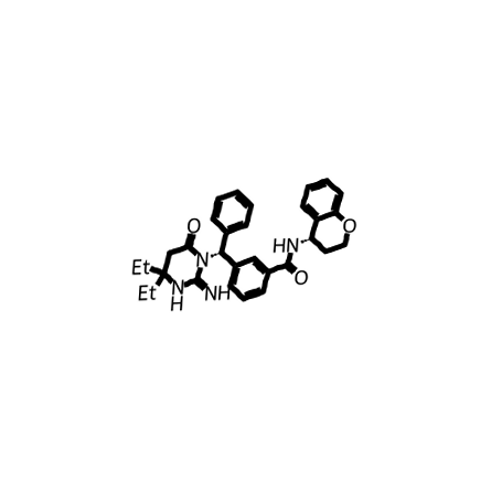 CCC1(CC)CC(=O)N([C@H](c2ccccc2)c2cccc(C(=O)N[C@H]3CCOc4ccccc43)c2)C(=N)N1